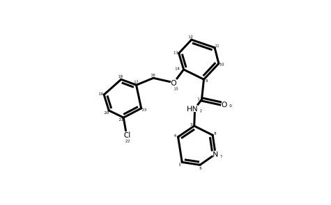 O=C(Nc1cccnc1)c1ccccc1OCc1cccc(Cl)c1